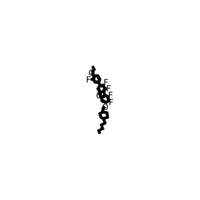 CCCCCC1CCC(COc2cc3oc4cc(-c5ccc(OCC)c(F)c5)c(F)c(F)c4c3c(F)c2F)CC1